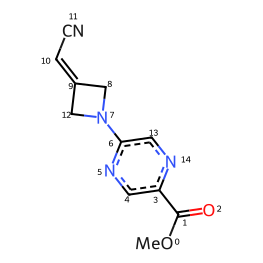 COC(=O)c1cnc(N2CC(=CC#N)C2)cn1